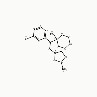 NC1CCN(CC(c2cccc(Cl)c2)C2(O)CCCCC2)C1